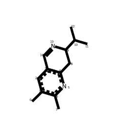 Cc1cc2c(nc1C)CC(C(C)C)N=C2